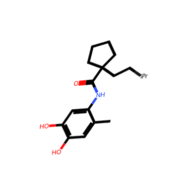 Cc1cc(O)c(O)cc1NC(=O)C1(CCC(C)C)CCCC1